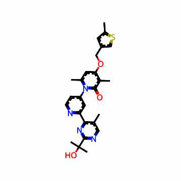 Cc1cc(COc2cc(C)n(-c3ccnc(-c4nc(C(C)(C)O)ncc4C)c3)c(=O)c2C)cs1